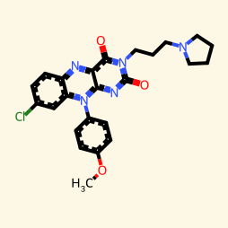 COc1ccc(-n2c3nc(=O)n(CCCN4CCCC4)c(=O)c-3nc3ccc(Cl)cc32)cc1